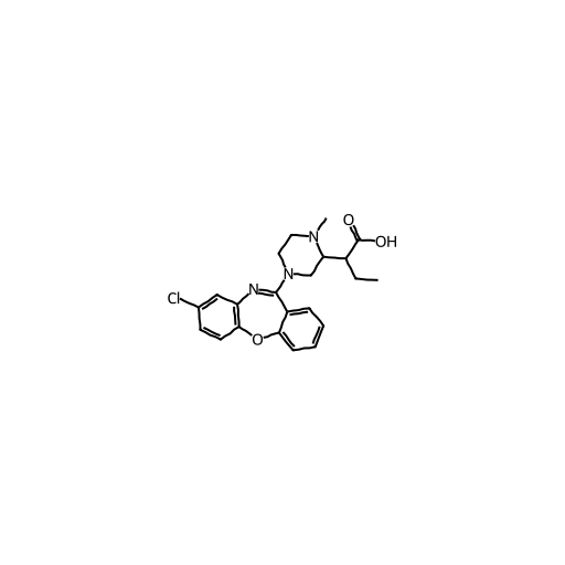 CCC(C(=O)O)C1CN(C2=Nc3cc(Cl)ccc3Oc3ccccc32)CCN1C